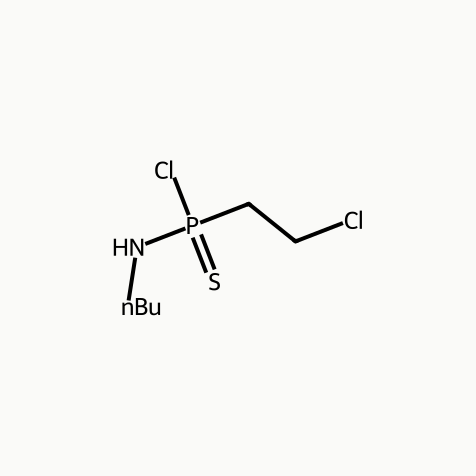 CCCCNP(=S)(Cl)CCCl